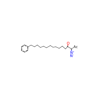 CC(=O)C(=[N+]=[N-])C(=O)CCCCCCCCCCCCc1ccccc1